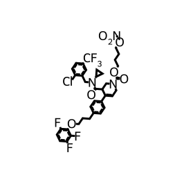 O=C(OCCCCO[N+](=O)[O-])N1CC=C(c2ccc(CCCOc3c(F)ccc(F)c3F)cc2)C(C(=O)N(Cc2cc(C(F)(F)F)ccc2Cl)C2CC2)C1